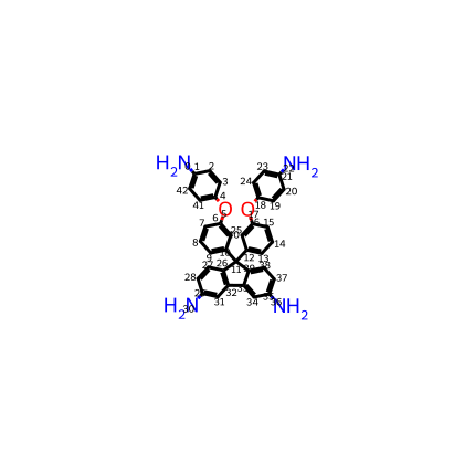 Nc1ccc(Oc2cccc(C3(c4cccc(Oc5ccc(N)cc5)c4)c4ccc(N)cc4-c4cc(N)ccc43)c2)cc1